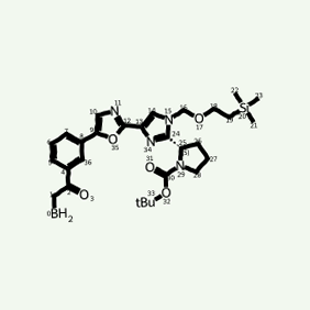 BCC(=O)c1cccc(-c2cnc(-c3cn(COCC[Si](C)(C)C)c([C@@H]4CCCN4C(=O)OC(C)(C)C)n3)o2)c1